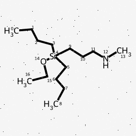 CCCC[Si](CCCC)(CCCNC)OCC